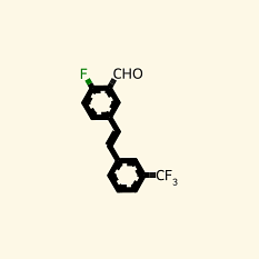 O=Cc1cc(/C=C/c2cccc(C(F)(F)F)c2)ccc1F